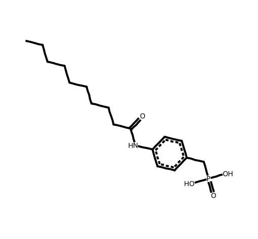 CCCCCCCCCC(=O)Nc1ccc(CP(=O)(O)O)cc1